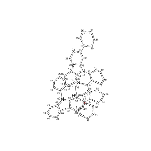 c1ccc(C2=NC(c3ccccc3-n3c4ccccc4c4ccc(-c5ccccc5)cc43)=NC(c3ccccc3-n3c4ccccc4c4ccc(-c5ccccc5)cc43)N2)cc1